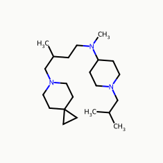 CC(C)CN1CCC(N(C)CCC(C)CN2CCC3(CC2)CC3)CC1